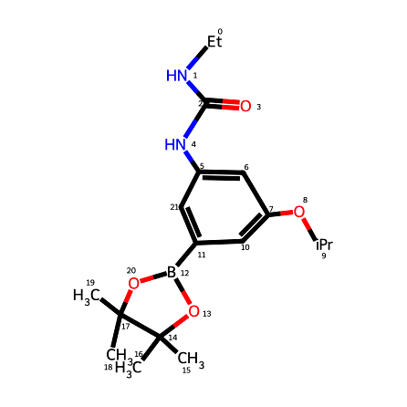 CCNC(=O)Nc1cc(OC(C)C)cc(B2OC(C)(C)C(C)(C)O2)c1